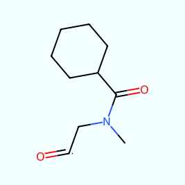 CN(C[C]=O)C(=O)C1CCCCC1